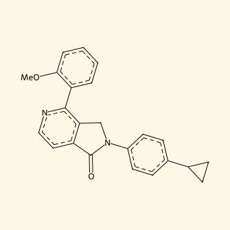 COc1ccccc1-c1nccc2c1CN(c1ccc(C3CC3)cc1)C2=O